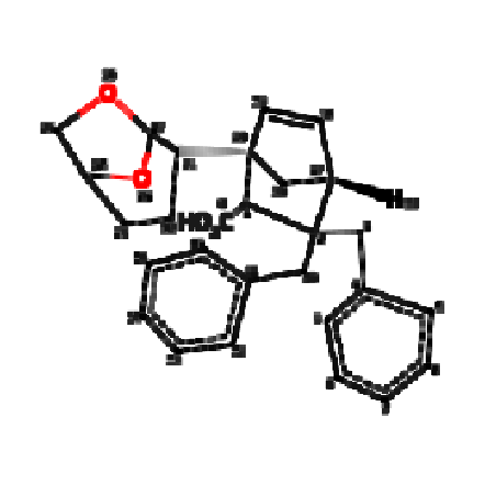 O=C(O)C1C(Cc2ccccc2)(Cc2ccccc2)[C@H]2C=C[C@@]1(C1CCC3COC1O3)C2